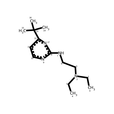 CCN(CC)CCNc1nccc(C(C)(C)C)n1